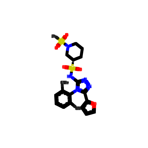 COc1cccc(OC)c1-n1c(NS(=O)(=O)[C@H]2CCCN(S(=O)(=O)C(C)C)C2)nnc1-c1ccco1